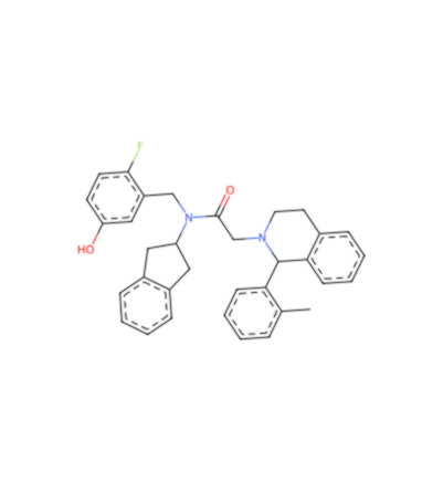 Cc1ccccc1C1c2ccccc2CCN1CC(=O)N(Cc1cc(O)ccc1F)C1Cc2ccccc2C1